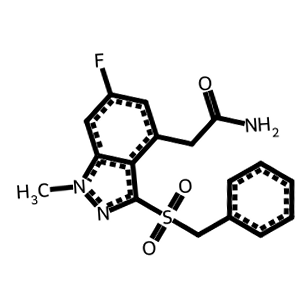 Cn1nc(S(=O)(=O)Cc2ccccc2)c2c(CC(N)=O)cc(F)cc21